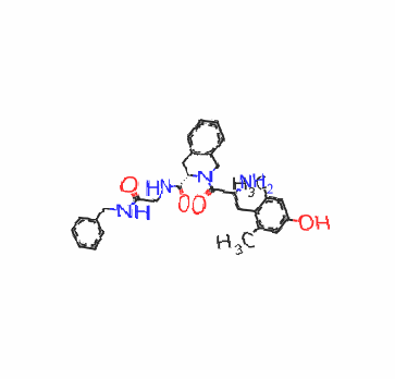 Cc1cc(O)cc(C)c1C[C@H](N)C(=O)N1Cc2ccccc2C[C@H]1C(=O)NCC(=O)NCc1ccccc1